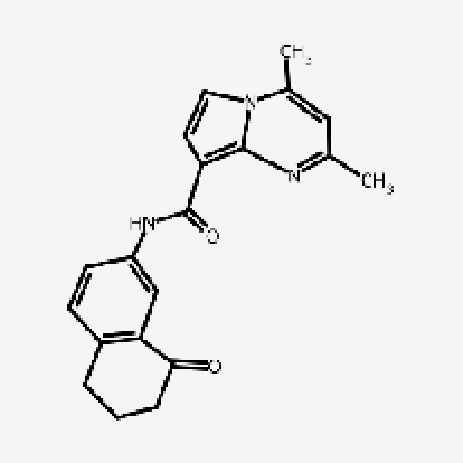 Cc1cc(C)n2ccc(C(=O)Nc3ccc4c(c3)C(=O)CCC4)c2n1